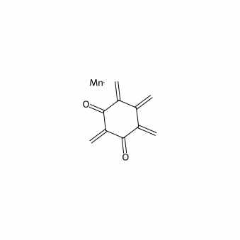 C=C1C(=C)C(=O)C(=C)C(=O)C1=C.[Mn]